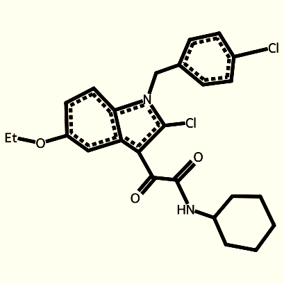 CCOc1ccc2c(c1)c(C(=O)C(=O)NC1CCCCC1)c(Cl)n2Cc1ccc(Cl)cc1